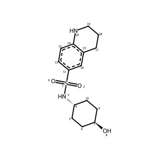 O=S(=O)(N[C@H]1CC[C@H](O)CC1)c1ccc2c(c1)CCCN2